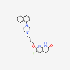 O=C1CCc2cc(F)c(OCCCCN3CCN(c4cccc5ccccc45)CC3)nc2N1